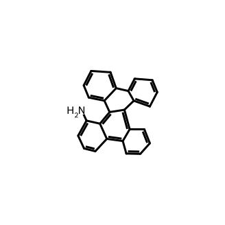 Nc1cccc2c3ccccc3c3c4ccccc4c4ccccc4c3c12